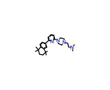 CN(C)CCN1CCN(c2cccc(-c3ccc4c(c3)C(C)(C)CCC4(C)C)n2)CC1